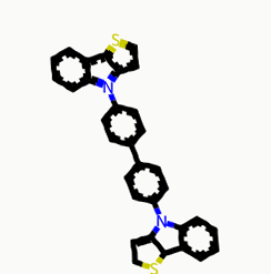 C1=C2C(SC1)c1ccccc1N2c1ccc(-c2ccc(-n3c4ccccc4c4sccc43)cc2)cc1